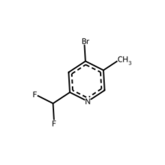 Cc1cnc(C(F)F)cc1Br